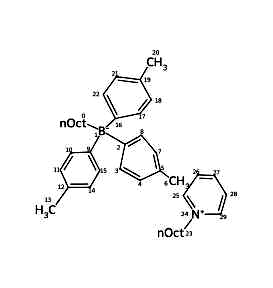 CCCCCCCC[B-](c1ccc(C)cc1)(c1ccc(C)cc1)c1ccc(C)cc1.CCCCCCCC[n+]1ccccc1